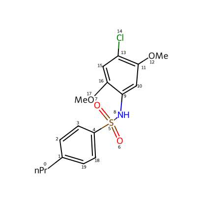 CCCc1ccc(S(=O)(=O)Nc2cc(OC)c(Cl)cc2OC)cc1